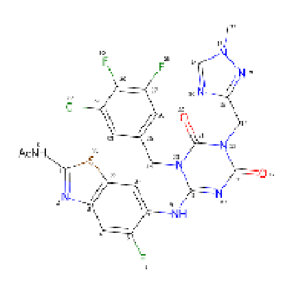 CC(=O)Nc1nc2cc(F)c(Nc3nc(=O)n(Cc4ncn(C)n4)c(=O)n3Cc3cc(F)c(F)c(Cl)c3)cc2s1